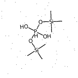 C[Si](C)(C)O[PH](O)(O)O[Si](C)(C)C